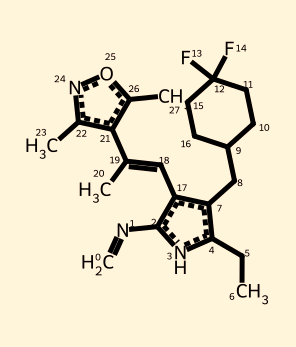 C=Nc1[nH]c(CC)c(CC2CCC(F)(F)CC2)c1/C=C(\C)c1c(C)noc1C